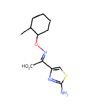 CC1CCCCC1O/N=C(\C(=O)O)c1csc(N)n1